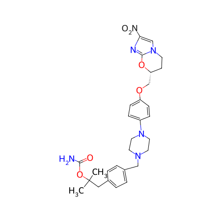 CC(C)(Cc1ccc(CN2CCN(c3ccc(OC[C@H]4CCn5cc([N+](=O)[O-])nc5O4)cc3)CC2)cc1)OC(N)=O